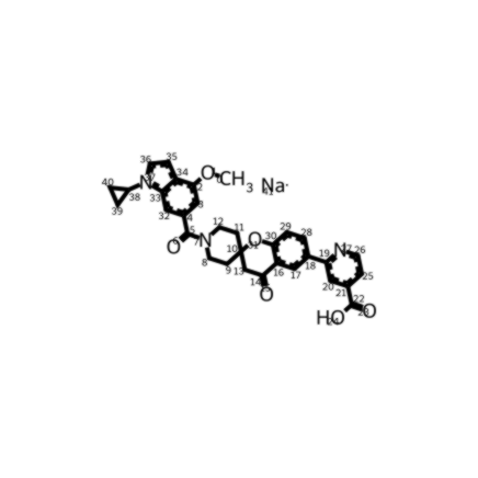 COc1cc(C(=O)N2CCC3(CC2)CC(=O)c2cc(-c4cc(C(=O)O)ccn4)ccc2O3)cc2c1ccn2C1CC1.[Na]